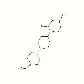 CCC1CCC(C2CCC(C3CCC(C)C(F)C3F)CC2)CC1